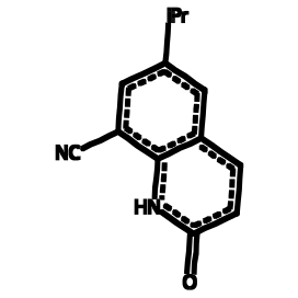 CC(C)c1cc(C#N)c2[nH]c(=O)ccc2c1